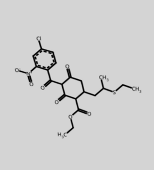 CCOC(=O)C1C(=O)C(C(=O)c2ccc(Cl)cc2[N+](=O)[O-])C(=O)CC1CC(C)SCC